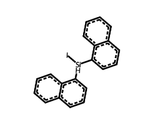 I[SiH](c1cccc2ccccc12)c1cccc2ccccc12